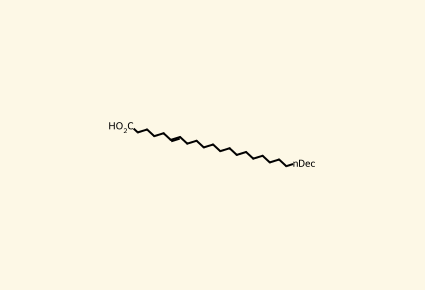 CCCCCCCCCCCCCCCCCCCCCCCC=CCCCCC(=O)O